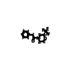 O=C(Cc1c[c]ccc1)N1CCO[C@@H](C(F)(F)F)C1